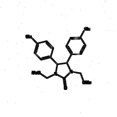 COCN1C(=O)N(COC)C(c2ccc(C(C)(C)C)cc2)C1c1ccc(C(C)(C)C)cc1